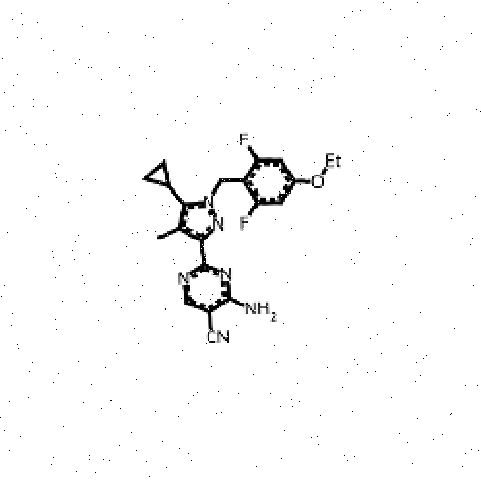 CCOc1cc(F)c(Cn2nc(-c3ncc(C#N)c(N)n3)c(C)c2C2CC2)c(F)c1